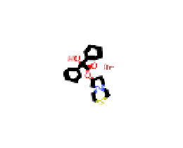 O=C(OC1CC[N+]2(CCSCC2)C1)C(O)(c1ccccc1)c1ccccc1.[Br-]